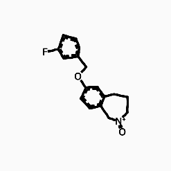 O=[N+]1CCCc2cc(OCc3cccc(F)c3)ccc2C1